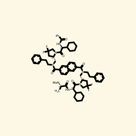 CN[C@@H](C)C(=O)N[C@H](C(=O)N1CC(F)(F)C[C@H]1CN(CCc1ccccc1)C(=O)c1ccc2cc(C(=O)N(CCc3ccccc3)C[C@@H]3CC(F)(F)CN3C(=O)[C@@H](NC(=O)C(C)C)C3CCCCC3)ccc2c1)C1CCCCC1